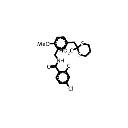 COc1ccc(CC2(C(=O)O)SCCCS2)cc1CNC(=O)c1ccc(Cl)cc1Cl